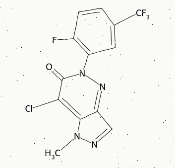 Cn1ncc2nn(-c3cc(C(F)(F)F)ccc3F)c(=O)c(Cl)c21